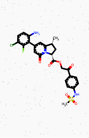 C[C@@H]1C[C@H](C(=O)OCC(=O)c2ccc(NS(C)(=O)=O)cc2)n2c1cc(-c1c(N)ccc(Cl)c1F)cc2=O